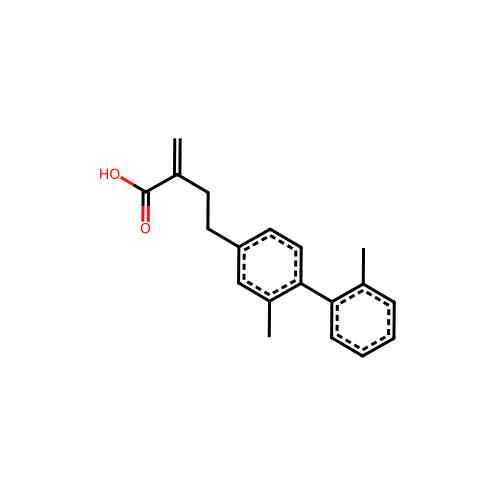 C=C(CCc1ccc(-c2ccccc2C)c(C)c1)C(=O)O